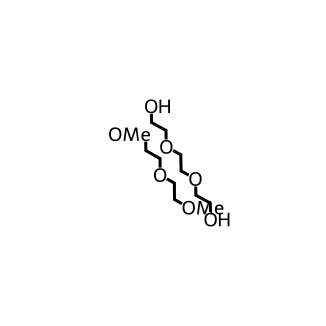 COCCOCCOC.OCCOCCOCCO